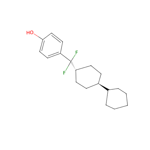 Oc1ccc(C(F)(F)[C@H]2CC[C@H](C3CCCCC3)CC2)cc1